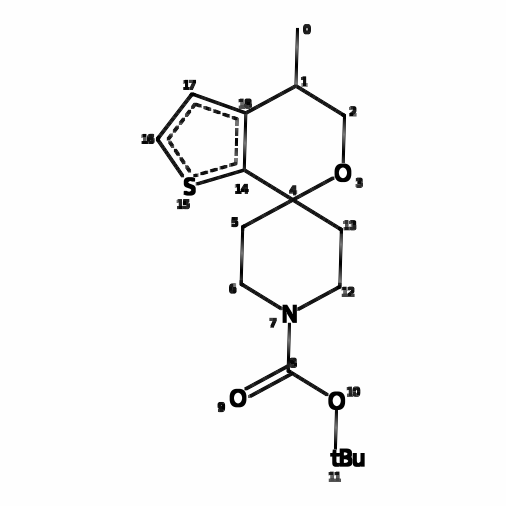 CC1COC2(CCN(C(=O)OC(C)(C)C)CC2)c2sccc21